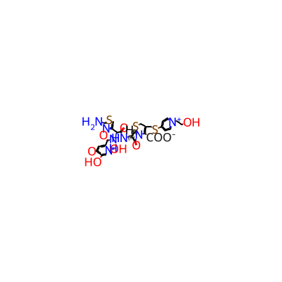 Nc1nc(C(NC(=O)c2cc(=O)c(O)cn2O)C(=O)N[C@@H]2C(=O)N3C(C(=O)[O-])=C(CSc4cc[n+](CCO)cc4)CS[C@H]23)cs1